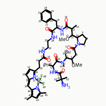 CCC(C)C(C(CC(=O)N1CCCC1C(OC)C(C)C(=O)NC(Cc1ccccc1)C(=O)NCCNC(=O)CCC1=[N+]2C(=Cc3c(C)cc(C)n3[B-]2(F)F)C=C1)OC)N(C)C(=O)C(NC(=O)C(C)(C)N)C(C)C